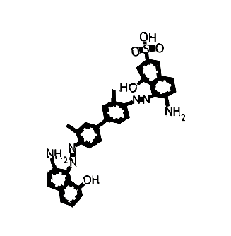 Cc1cc(-c2ccc(N=Nc3c(N)ccc4cc(S(=O)(=O)O)cc(O)c34)c(C)c2)ccc1N=Nc1c(N)ccc2cccc(O)c12